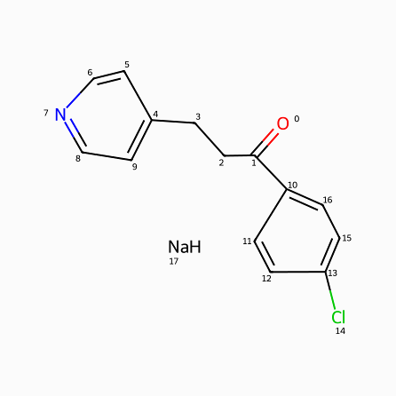 O=C(CCc1ccncc1)c1ccc(Cl)cc1.[NaH]